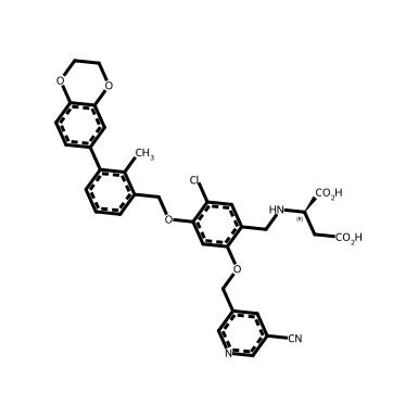 Cc1c(COc2cc(OCc3cncc(C#N)c3)c(CN[C@H](CC(=O)O)C(=O)O)cc2Cl)cccc1-c1ccc2c(c1)OCCO2